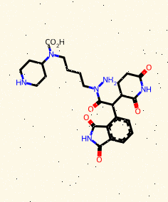 NN(CCCCN(C(=O)O)C1CCNCC1)C(=O)C(c1cccc2c1C(=O)NC2=O)C1CCC(=O)NC1=O